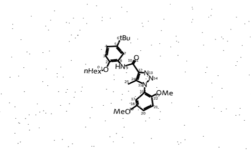 CCCCCCOc1ccc(C(C)(C)C)cc1NC(=O)c1nnn(-c2cc(OC)ccc2OC)c1C